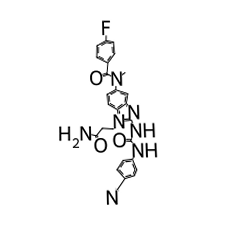 CN(C(=O)c1ccc(F)cc1)c1ccc2c(c1)nc(NC(=O)Nc1ccc(C#N)cc1)n2CCC(N)=O